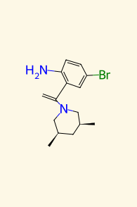 C=C(c1cc(Br)ccc1N)N1C[C@H](C)C[C@H](C)C1